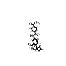 CC(=O)N1CCC(C(=O)Nc2ccc3c(c2)C(=O)NCC32CCC2)CC1